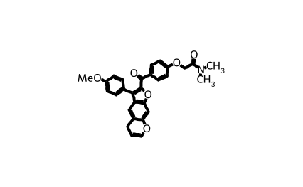 COc1ccc(-c2c(C(=O)c3ccc(OCC(=O)N(C)C)cc3)oc3cc4c(cc23)CC=CO4)cc1